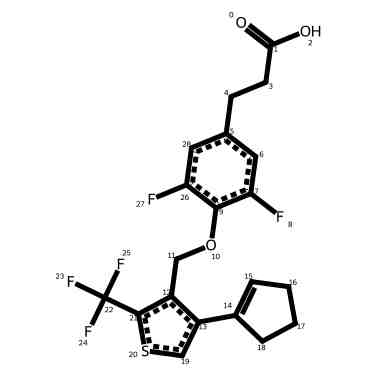 O=C(O)CCc1cc(F)c(OCc2c(C3=CCCC3)csc2C(F)(F)F)c(F)c1